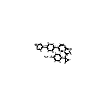 COc1ccc(C2(c3nnc4ncc(-c5ccc(-c6cn[nH]c6)cc5)nn34)CC2)cc1